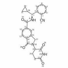 N#Cc1ccccc1[C@@H](NC(=O)c1ccc2c(c1)CN(C1CCC(=O)NC1=O)C2=O)C1CC1